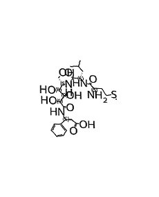 CSCC[C@H](N)C(=O)N[C@@H](CC(C)C)C(=O)N[C@@H](CO)[C@@H](O)[C@@H](O)[C@H](O)C(=O)N[C@@H](CC(=O)O)c1ccccc1